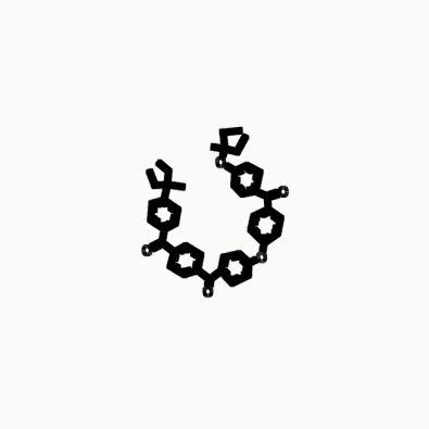 CCC(C)(CC)Oc1ccc(C(=O)c2ccc(Oc3ccc(C(=O)c4ccc(C(=O)c5ccc(C(C)(CC)CC)cc5)cc4)cc3)cc2)cc1